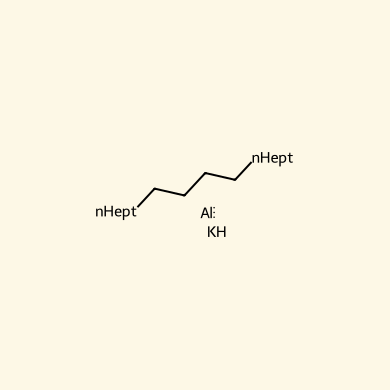 CCCCCCCCCCCCCCCCCC.[Al].[KH]